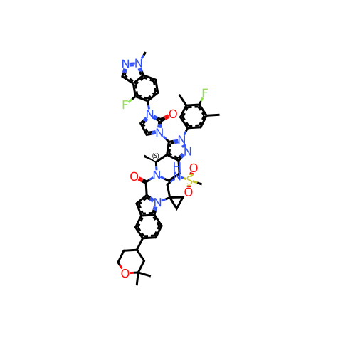 Cc1cc(-n2nc3c(c2-n2ccn(-c4ccc5c(cnn5C)c4F)c2=O)[C@H](C)N(C(=O)c2cc4cc(C5CCOC(C)(C)C5)ccc4n2C2(CNS(C)(=O)=O)CC2)CC3)cc(C)c1F